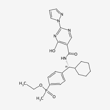 CCOP(C)(=O)c1ccc([C@H](NC(=O)c2cnc(-n3cccn3)nc2O)C2CCCCC2)cc1